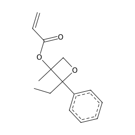 C=CC(=O)OC1(C)COC1(CC)c1ccccc1